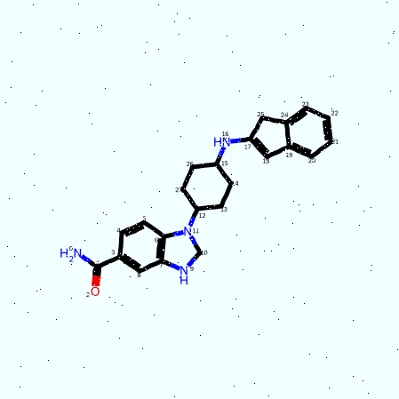 NC(=O)c1ccc2c(c1)N[CH]N2C1CCC(NC2=Cc3ccccc3C2)CC1